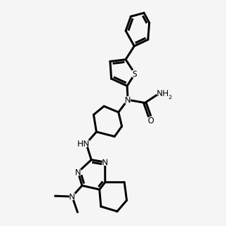 CN(C)c1nc(NC2CCC(N(C(N)=O)c3ccc(-c4ccccc4)s3)CC2)nc2c1CCCC2